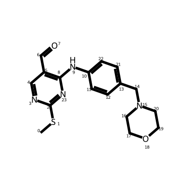 CSc1ncc(C=O)c(Nc2ccc(CN3CCOCC3)cc2)n1